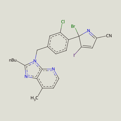 CCCCc1nc2c(C)ccnc2n1Cc1ccc(C2(Br)N=C(C#N)C=C2I)c(Cl)c1